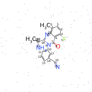 Cc1ccc(F)c2c(=O)n(-c3cccc(C#N)c3)c([C@H](C)N)nc12